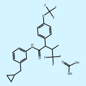 CC(C(C(=O)Nc1cccc(CC2CC2)c1)c1ccc(OC(F)(F)F)cc1)C(F)(F)F.O=C(O)O